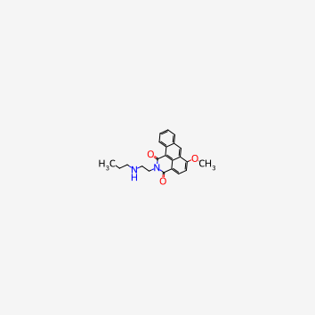 CCCNCCN1C(=O)c2ccc(OC)c3cc4ccccc4c(c23)C1=O